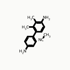 CC#N.Cc1c(N)ccc(-c2ccc(N)cc2)c1C